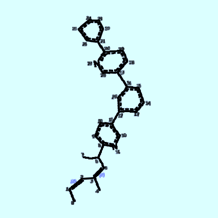 C/C=C\C(C)=C/C(C)c1ccc(-c2cccc(-c3ccc(-c4ccccc4)nc3)c2)cn1